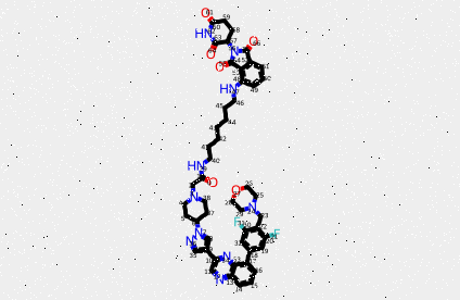 O=C(CN1CCC(n2cc(-c3cnc4cccc(-c5cc(F)c(CN6CCOCC6)c(F)c5)c4n3)cn2)CC1)NCCCCCCCNc1cccc2c1C(=O)N(C1CCC(=O)NC1=O)C2=O